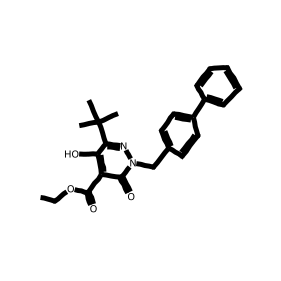 CCOC(=O)c1c(O)c(C(C)(C)C)nn(Cc2ccc(-c3ccccc3)cc2)c1=O